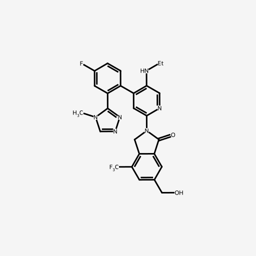 CCNc1cnc(N2Cc3c(cc(CO)cc3C(F)(F)F)C2=O)cc1-c1ccc(F)cc1-c1nncn1C